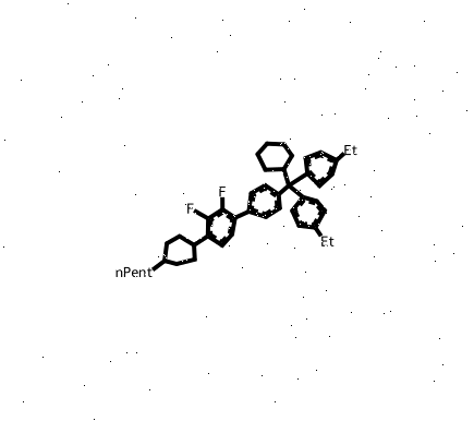 CCCCCC1CCC(c2ccc(-c3ccc(C(c4ccc(CC)cc4)(c4ccc(CC)cc4)C4CCCCC4)cc3)c(F)c2F)CC1